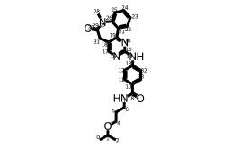 CC(C)OCCCNC(=O)c1ccc(Nc2ncc3c(n2)-c2ccccc2N(C)C(=O)C3)cc1